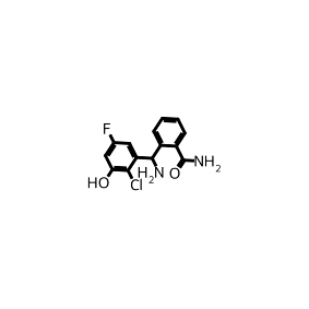 NC(=O)c1ccccc1C(N)c1cc(F)cc(O)c1Cl